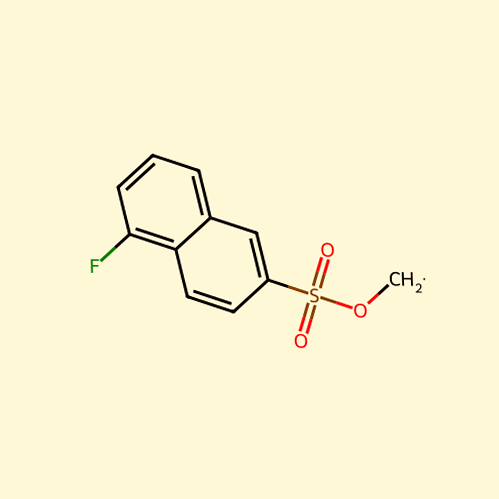 [CH2]OS(=O)(=O)c1ccc2c(F)cccc2c1